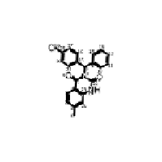 Cc1ccc2c(=O)n(C(c3ccccc3)c3ccc(Cl)cc3)c(=O)[nH]c2c1